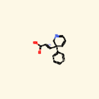 O=C(O)/C=C/C1(c2ccccc2)C=CC=NC1